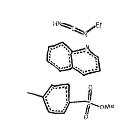 CCN=C=N.COS(=O)(=O)c1ccc(C)cc1.c1ccc2ncccc2c1